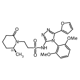 COc1cccc(OC)c1-n1c(NS(=O)(=O)CCN2C(=O)CCC[C@@H]2C)nnc1-c1ccco1